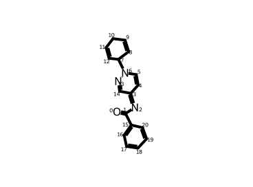 O=C(N=c1ccn(C2C=CCC=C2)nc1)c1ccccc1